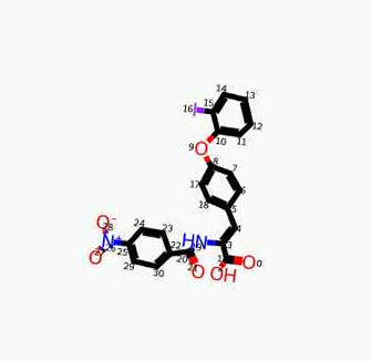 O=C(O)C(=Cc1ccc(Oc2ccccc2I)cc1)NC(=O)c1ccc([N+](=O)[O-])cc1